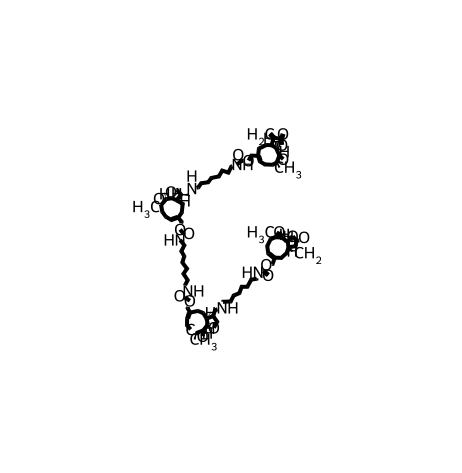 C=C1C(=O)O[C@H]2[C@H]1CC/C(COC(=O)NCCCCCCCCNCC1CO[C@H]3[C@H]1CC/C(COC(=O)NCCCCCCCCNC(=O)OC/C1=C/CC[C@@]4(C)O[C@H]4[C@H]4OC[C@@H](CNCCCCCCCCNC(=O)OC/C5=C/CC[C@@]6(C)O[C@H]6[C@H]6OC(=O)C(=C)[C@@H]6CC5)[C@@H]4CC1)=C\CC[C@@]1(C)O[C@@H]31)=C\CC[C@@]1(C)O[C@@H]21